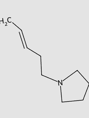 [CH2]/C=C/CCN1CCCC1